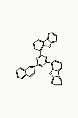 c1ccc2cc(-c3nc(-c4cccc5c4oc4ccccc45)nc(-c4cccc5c4oc4ccccc45)n3)ccc2c1